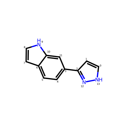 c1cc(-c2ccc3cc[nH]c3c2)n[nH]1